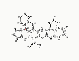 CC(C)Oc1cc(CC(C(=O)c2ccc3c(c2)OCCO3)=C(C(=O)O)c2ccc3nsnc3c2)cc(OC(C)C)c1OC(C)C